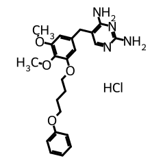 COc1cc(Cc2cnc(N)nc2N)cc(OCCCCOc2ccccc2)c1OC.Cl